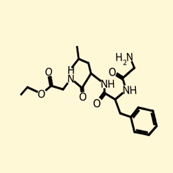 CCOC(=O)CNC(=O)C(CC(C)C)NC(=O)C(Cc1ccccc1)NC(=O)CN